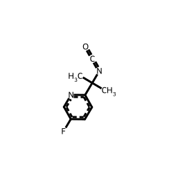 CC(C)(N=C=O)c1ccc(F)cn1